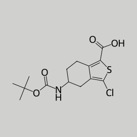 CC(C)(C)OC(=O)NC1CCc2c(C(=O)O)sc(Cl)c2C1